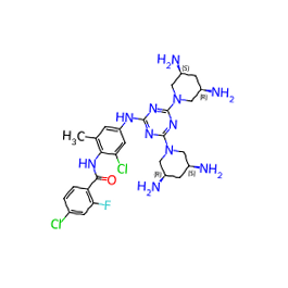 Cc1cc(Nc2nc(N3C[C@H](N)C[C@H](N)C3)nc(N3C[C@H](N)C[C@H](N)C3)n2)cc(Cl)c1NC(=O)c1ccc(Cl)cc1F